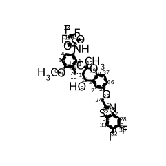 COc1ccc(NS(=O)(=O)C(F)(F)F)cc1C[C@H]1[C@@H](O)c2cc(OCc3nc4cc(F)c(F)cc4s3)ccc2OC1(C)C